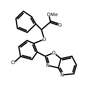 COC(=O)C(Oc1ccc(Cl)cc1-c1nc2ncccc2o1)c1ccccc1